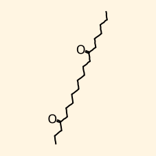 CCCCCCC(=O)CCCCCCCCCC(=O)CCC